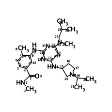 CNC(=O)c1ccc(C)c(Nc2nc(NC3CCN(C(C)C)C3)nc(N(C)CC(C)C)n2)c1